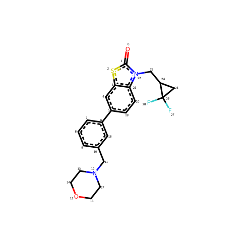 O=c1sc2cc(-c3cccc(CN4CCOCC4)c3)ccc2n1CC1CC1(F)F